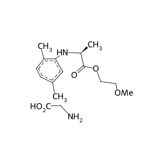 COCCOC(=O)[C@H](C)Nc1cc(C)ccc1C.NCC(=O)O